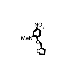 CNc1cc([N+](=O)[O-])ccc1OCC1CCCO1